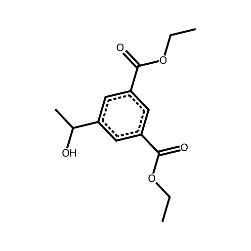 CCOC(=O)c1cc(C(=O)OCC)cc(C(C)O)c1